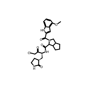 COc1cccc2[nH]c(C(=O)N3CC4CCCC4C3C(=O)N[C@@H](C[C@@H]3CCNC3=O)C(=O)CCl)cc12